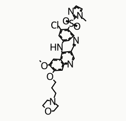 COc1cc2c(Nc3ccc(S(=O)(=O)c4nccn4C)c(Cl)c3)c(C#N)cnc2cc1OCCCN1CCOCC1